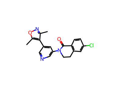 Cc1noc(C)c1-c1cncc(N2CCc3cc(Cl)ccc3C2=O)c1